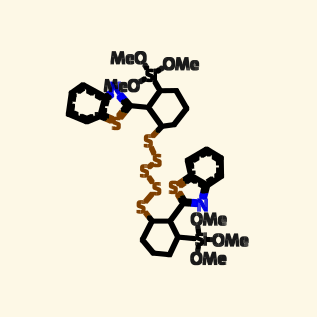 CO[Si](OC)(OC)C1CCCC(SSSSSC2CCCC([Si](OC)(OC)OC)C2c2nc3ccccc3s2)C1c1nc2ccccc2s1